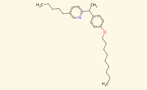 CCCCCCCCCOc1ccc(C(C)c2ccc(CCCCC)cn2)cc1